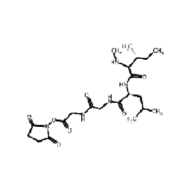 CC[C@@H](C)C(NC)C(=O)N[C@@H](CC(C)C)C(=O)NCC(=O)NCC(=O)ON1C(=O)CCC1=O